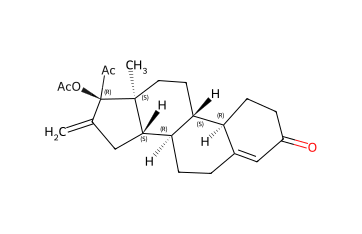 C=C1C[C@H]2[C@@H]3CCC4=CC(=O)CC[C@@H]4[C@H]3CC[C@]2(C)[C@@]1(OC(C)=O)C(C)=O